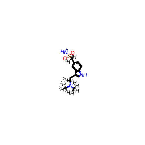 [2H]C([2H])([2H])N(C([2H])([2H])[2H])C([2H])([2H])Cc1c[nH]c2ccc(C([2H])([2H])S(=O)(=O)NC)cc12